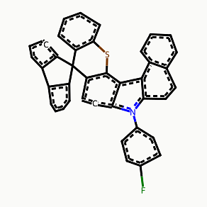 Fc1ccc(-n2c3ccc4c(c3c3c5ccccc5ccc32)Sc2ccccc2C42c3ccccc3-c3ccccc32)cc1